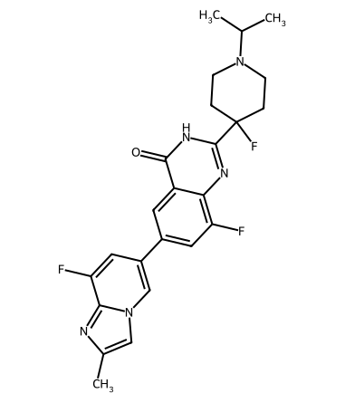 Cc1cn2cc(-c3cc(F)c4nc(C5(F)CCN(C(C)C)CC5)[nH]c(=O)c4c3)cc(F)c2n1